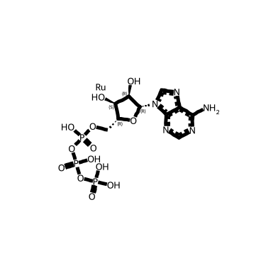 Nc1ncnc2c1ncn2[C@@H]1O[C@H](COP(=O)(O)OP(=O)(O)OP(=O)(O)O)[C@@H](O)[C@H]1O.[Ru]